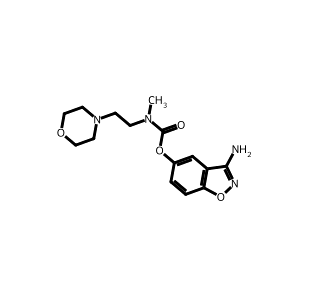 CN(CCN1CCOCC1)C(=O)Oc1ccc2onc(N)c2c1